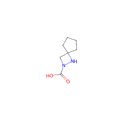 O=C(O)N1CC2(CCCC2)N1